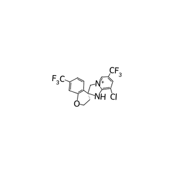 FC(F)(F)c1ccc2c(c1)OCC[C@@]21C[n+]2cc(C(F)(F)F)cc(Cl)c2N1